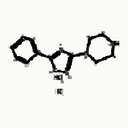 Cl.Cl.c1ccc(-c2nc(N3CCNCC3)no2)cc1